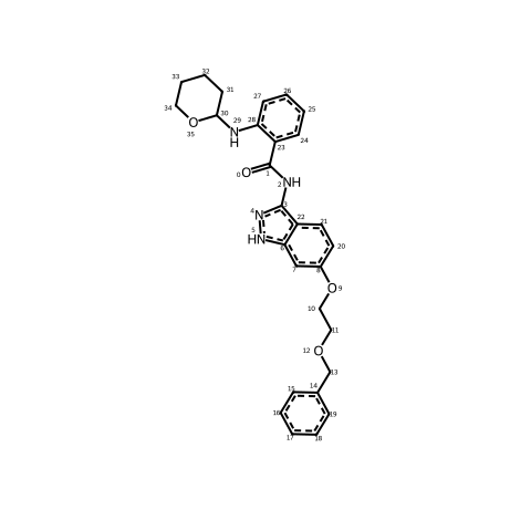 O=C(Nc1n[nH]c2cc(OCCOCc3ccccc3)ccc12)c1ccccc1NC1CCCCO1